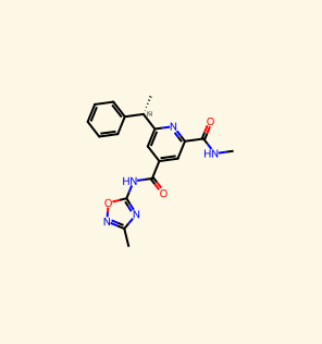 CNC(=O)c1cc(C(=O)Nc2nc(C)no2)cc([C@@H](C)c2ccccc2)n1